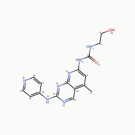 Cc1cc(NC(=O)NCCO)nc2nc(Nc3ccncc3)ncc12